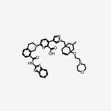 CC1CC2(Cn3cc(-c4ccc(N5CCc6cccc(C(=O)Nc7nc8ccccc8s7)c6C5)nc4C(=O)O)cn3)CC=CC(OCCN3CCOCC3)(C1)C2